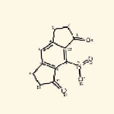 O=C1CCc2cc3c(c([N+](=O)[O-])c21)C(=O)CC3